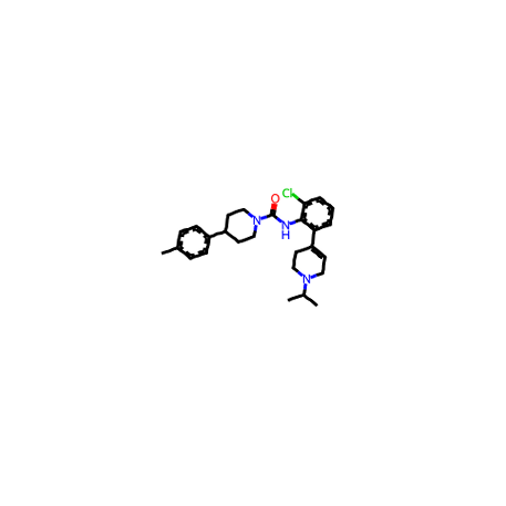 Cc1ccc(C2CCN(C(=O)Nc3c(Cl)cccc3C3=CCN(C(C)C)CC3)CC2)cc1